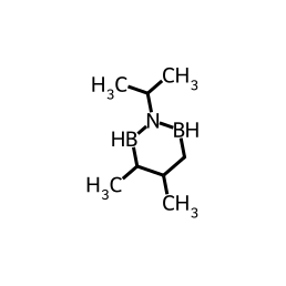 CC1BN(C(C)C)BCC1C